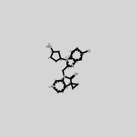 O=C1N(Cc2nc3cc(Cl)ccc3n2C2CCC(O)C2)c2cnccc2C12CC2